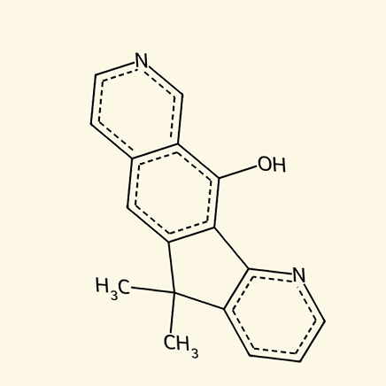 CC1(C)c2cccnc2-c2c1cc1ccncc1c2O